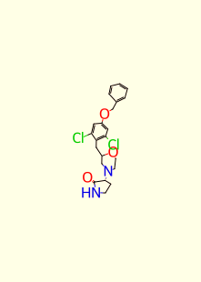 O=C1NCC[C@H]1N1CCOC(Cc2c(Cl)cc(OCc3ccccc3)cc2Cl)C1